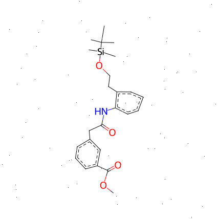 COC(=O)c1cccc(CC(=O)Nc2ccccc2CCO[Si](C)(C)C(C)(C)C)c1